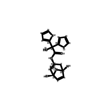 CN1[C@@H]2C=C[C@H]1C[C@H](OC(=O)C(O)(c1cccs1)c1cccs1)C2